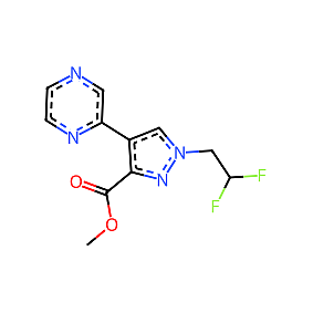 COC(=O)c1nn(CC(F)F)cc1-c1cnccn1